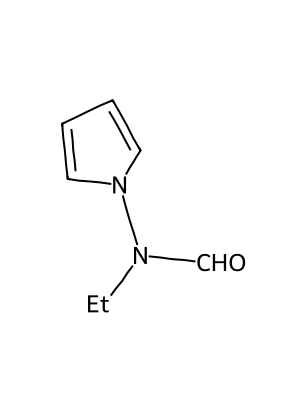 CCN(C=O)n1cccc1